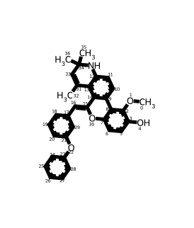 COc1c(O)ccc2c1-c1ccc3c(c1/C(=C/c1cccc(Oc4ccccc4)c1)O2)C(C)=CC(C)(C)N3